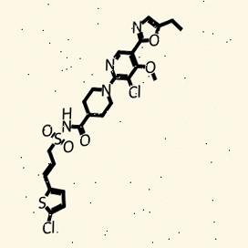 CCc1cnc(-c2cnc(N3CCC(C(=O)NS(=O)(=O)CC=Cc4ccc(Cl)s4)CC3)c(Cl)c2OC)o1